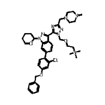 CCc1cc(OCc2ccccc2)ccc1-c1ccc2c(-c3nc(CN4CCN(C)CC4)nn3COCC[Si](C)(C)C)nn(C3CCCCO3)c2c1